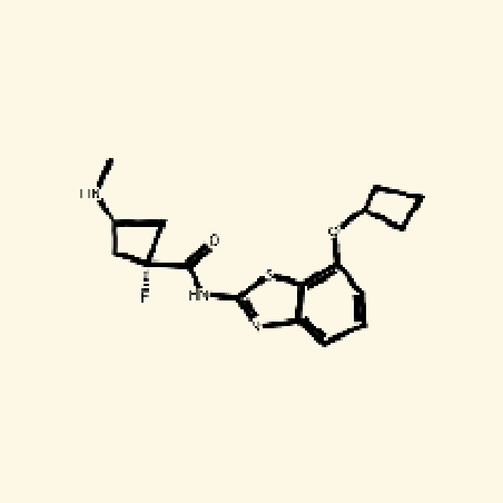 CN[C@H]1C[C@@](F)(C(=O)Nc2nc3cccc(OC4CCC4)c3s2)C1